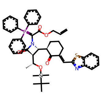 C=CCOC(=O)C(N1C(=O)[C@H]([C@@H](C)O[Si](C)(C)C(C)(C)C)[C@H]1[C@H]1CCCC(=Cc2nc3ccccc3s2)C1=O)=P(c1ccccc1)(c1ccccc1)c1ccccc1